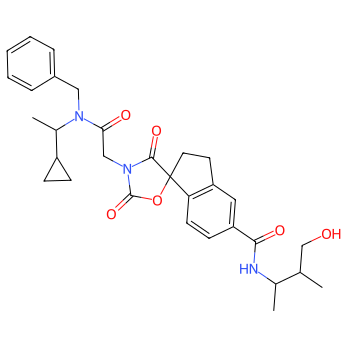 CC(CO)C(C)NC(=O)c1ccc2c(c1)CCC21OC(=O)N(CC(=O)N(Cc2ccccc2)C(C)C2CC2)C1=O